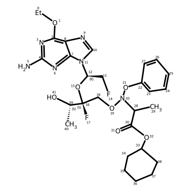 CCOc1nc(N)nc2c1ncn2[C@@H](CF)O[C@](F)(CON(Oc1ccccc1)C(C)C(=O)OC1CCCCC1)[C@H](C)O